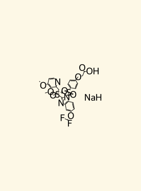 COc1ccnc(C[S+]([O-])c2nc3cc(OC(F)F)ccc3n2S(=O)(=O)c2ccc(OCC(=O)O)cc2)c1OC.[NaH]